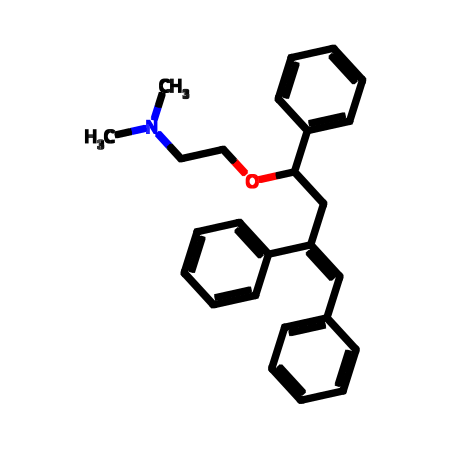 CN(C)CCOC(C/C(=C/c1ccccc1)c1ccccc1)c1ccccc1